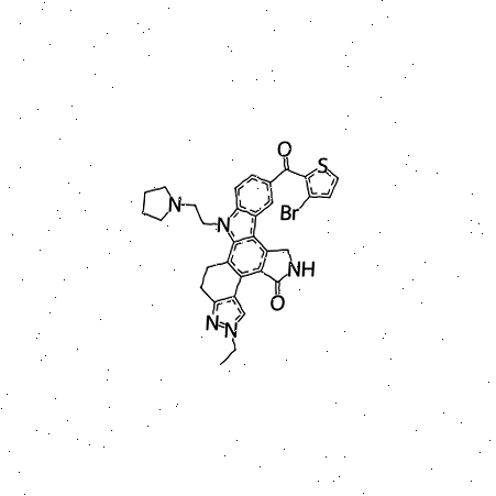 CCn1cc2c(n1)CCc1c-2c2c(c3c4cc(C(=O)c5sccc5Br)ccc4n(CCN4CCCC4)c13)CNC2=O